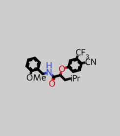 COc1ccccc1CNC(=O)C(CC(C)C)Oc1ccc(C#N)c(C(F)(F)F)c1